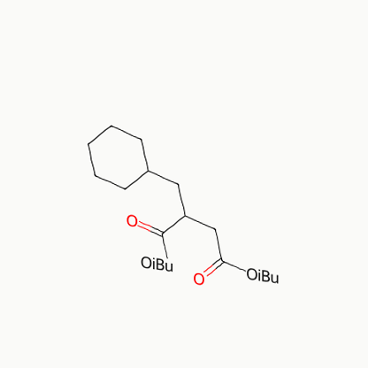 CC(C)COC(=O)CC(CC1CCCCC1)C(=O)OCC(C)C